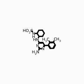 Cc1cccc(-c2cc(NC3CCCCC3NC(=O)O)nc(N)n2)c1C